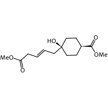 COC(=O)C/C=C/C[C@]1(O)CC[C@@H](C(=O)OC)CC1